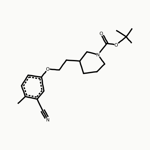 Cc1ccc(OCCC2CCCN(C(=O)OC(C)(C)C)C2)cc1C#N